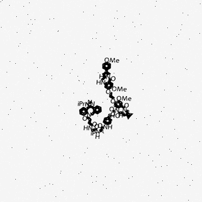 COc1ccc(C2=CN3C(=O)c4cc(OC)c(OCCCOc5cc6c(cc5OC)C(=O)N5CC7(CC7)C[C@H]5C(O)N6C(=O)OCc5ccc(NC(=O)[C@H](C)NC(=O)[C@@H](NC(=O)CCC(=O)N6Cc7ccccc7-c7nnn(C(C)C)c7-c7ccccc76)C(C)C)cc5)cc4NC[C@@H]3C2)cc1